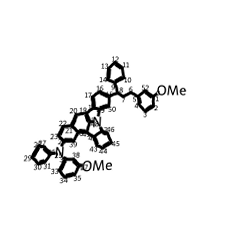 COc1cccc(CCC(c2ccccc2)c2ccc3c4cc5ccc(N(c6ccccc6)c6cccc(OC)c6)cc5c5c6ccccc6n(c3c2)c45)c1